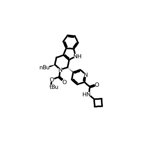 CCCC[C@H]1Cc2c([nH]c3ccccc23)[C@H](c2ccc(C(=O)NC3CCC3)nc2)N1C(=O)OC(C)(C)C